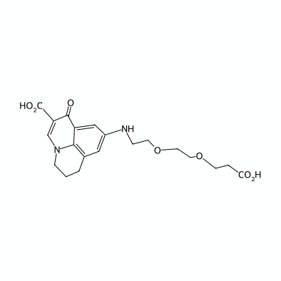 O=C(O)CCOCCOCCNc1cc2c3c(c1)c(=O)c(C(=O)O)cn3CCC2